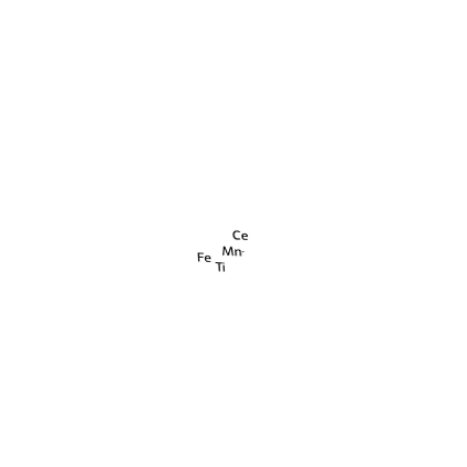 [Ce].[Fe].[Mn].[Ti]